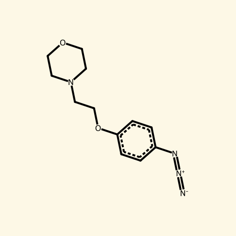 [N-]=[N+]=Nc1ccc(OCCN2CCOCC2)cc1